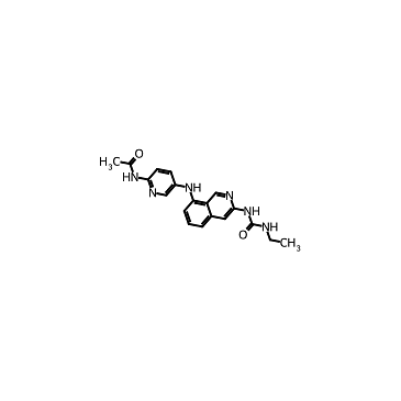 CCNC(=O)Nc1cc2cccc(Nc3ccc(NC(C)=O)nc3)c2cn1